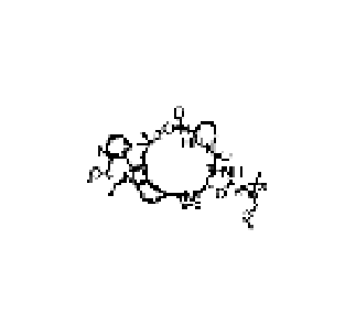 CCn1c(-c2cccnc2[C@H](C)OC)c2c3cc(ccc31)C1CSC(=N1)C[C@H](NC(=O)[C@@H]1[C@@H](C)[C@H]1COC)C(=O)N1CCC[C@H](N1)C(=O)OCC(C)(C)C2